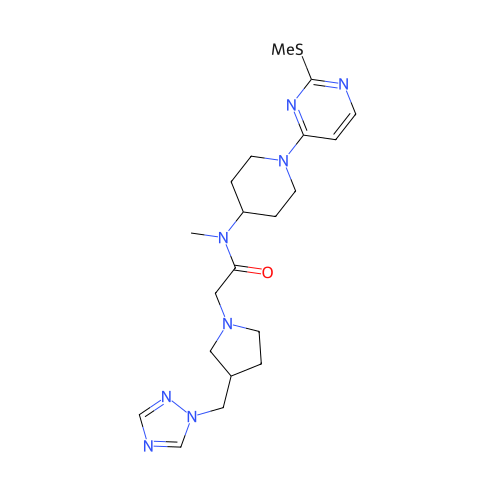 CSc1nccc(N2CCC(N(C)C(=O)CN3CCC(Cn4cncn4)C3)CC2)n1